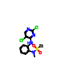 CCS(=O)(=O)N(C)c1ccccc1Nc1nc(Cl)ncc1Cl